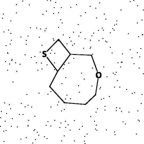 C1CCC2SCC2COC1